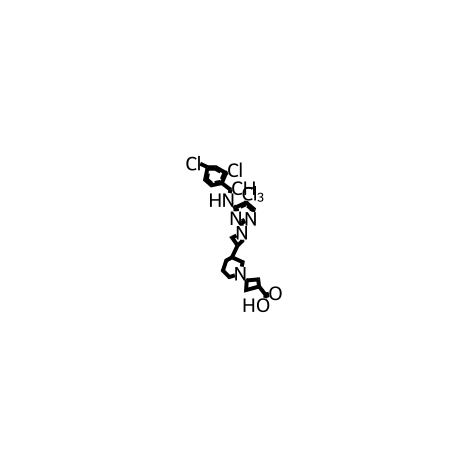 CC(Nc1nc(N2CC(C3CCCN(C4CC(C(=O)O)C4)C3)C2)ncc1Cl)c1ccc(Cl)cc1Cl